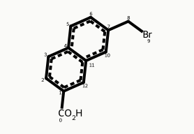 O=C(O)c1ccc2ccc(CBr)cc2c1